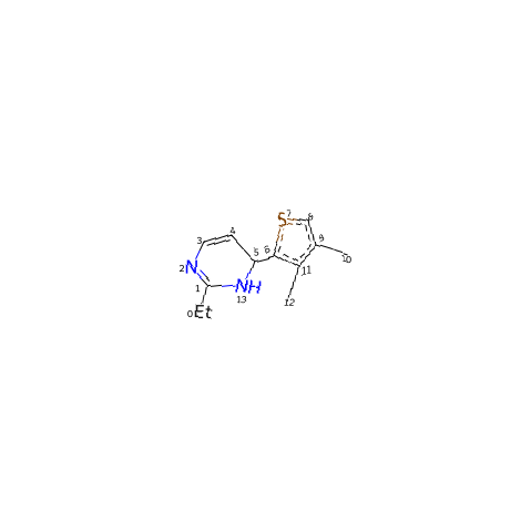 CCC1=NC=CC(c2scc(C)c2C)N1